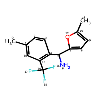 Cc1ccc(C(N)c2ccc(C)o2)c(C(F)(F)F)c1